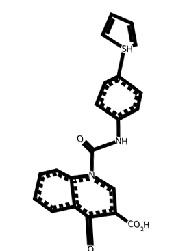 O=C(O)c1cn(C(=O)Nc2ccc([SH]3C=CC=C3)cc2)c2ccccc2c1=O